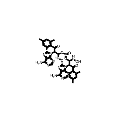 Cc1cc(C)c(C(=O)C(C(O[PH](=O)OC(PO)C(C(=O)c2c(C)cc(C)cc2C)n2cnc3c(N)ncnc32)PO)n2cnc3c(N)ncnc32)c(C)c1